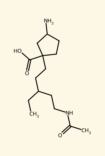 CCC(CCNC(C)=O)CCC1(C(=O)O)CCC(N)C1